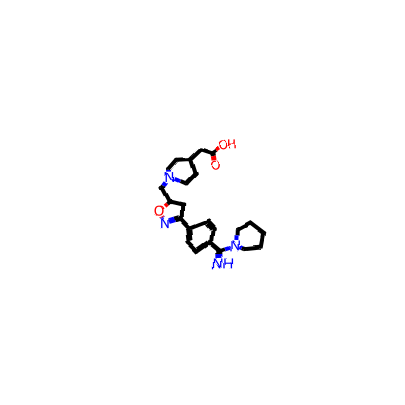 N=C(c1ccc(C2=NOC(CN3CCC(CC(=O)O)CC3)C2)cc1)N1CCCCC1